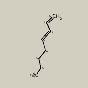 C=C/[C]=C/CCCCCCC